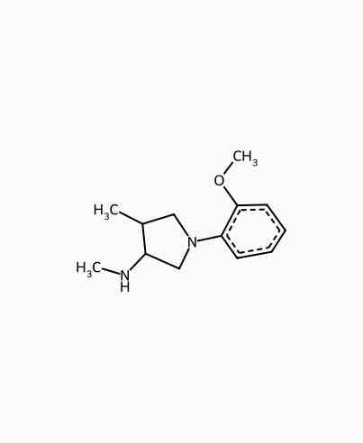 CNC1CN(c2ccccc2OC)CC1C